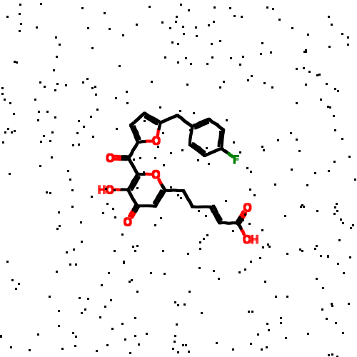 O=C(O)C=CCCc1cc(=O)c(O)c(C(=O)c2ccc(Cc3ccc(F)cc3)o2)o1